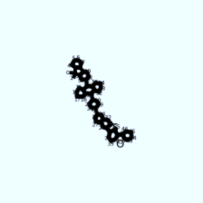 CC1(C)c2ccccc2-c2ccc(-c3c4ccccc4c(-c4ccc(-c5ccc6cc7c(cc6c5)sc5c7ccc6oc7ccccc7c65)cc4)c4ccccc34)cc21